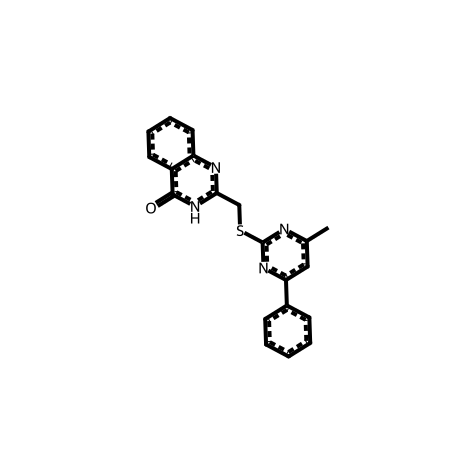 Cc1cc(-c2ccccc2)nc(SCc2nc3ccccc3c(=O)[nH]2)n1